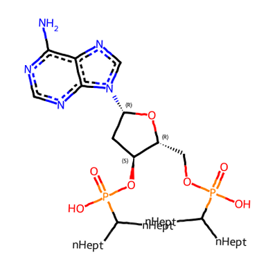 CCCCCCCC(CCCCCCC)P(=O)(O)OC[C@H]1O[C@@H](n2cnc3c(N)ncnc32)C[C@@H]1OP(=O)(O)C(CCCCCCC)CCCCCCC